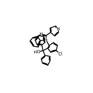 OC(c1ccccc1)(c1ccccc1)c1cc(Cl)ccc1-n1c(-c2ccncc2)nc2ccccc21